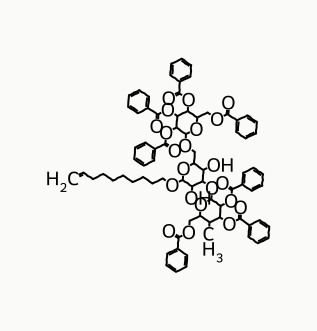 C=CCCCCCCCCOC1OC(COC2OC(COC(=O)c3ccccc3)C(OC(=O)c3ccccc3)C(OC(=O)c3ccccc3)C2OC(=O)c2ccccc2)C(O)C(OC2OC(COC(=O)c3ccccc3)C(C)C(OC(=O)c3ccccc3)C2OC(=O)c2ccccc2)C1O